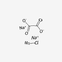 O=C([O-])C(=O)[O-].[Cl][Mn].[Na+].[Na+]